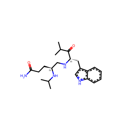 CC(C)N[C@@H](CCC(N)=O)CN[C@@H](Cc1c[nH]c2ccccc12)C(=O)C(C)C